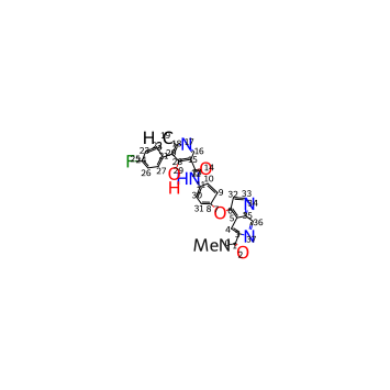 CNC(=O)c1cc2c(Oc3ccc(NC(=O)c4cnc(C)c(-c5ccc(F)cc5)c4O)cc3)ccnc2cn1